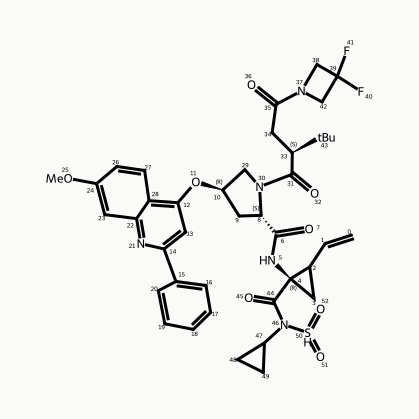 C=CC1C[C@]1(NC(=O)[C@@H]1C[C@@H](Oc2cc(-c3ccccc3)nc3cc(OC)ccc23)CN1C(=O)[C@@H](CC(=O)N1CC(F)(F)C1)C(C)(C)C)C(=O)N(C1CC1)[SH](=O)=O